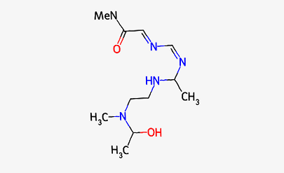 CNC(=O)/C=N/C=N\C(C)NCCN(C)C(C)O